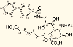 CC(=O)N[C@@H]1[C@@H](O)C[C@](OCCCSCCC(=O)O)(C(=O)O)O[C@H]1C(O)[C@H](O)CNC(=O)c1ccc(-c2ccccc2)cc1